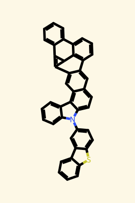 c1ccc2c(c1)C1=C3c4cc5c(ccc6c5c5ccccc5n6-c5ccc6sc7ccccc7c6c5)cc4-c4cccc-2c4C13